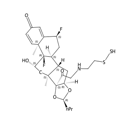 CCC[C@@H]1O[C@@H]2C[C@H]3[C@@H]4C[C@H](F)C5=CC(=O)C=C[C@]5(C)[C@@]4(F)[C@@H](O)C[C@]3(C)[C@]2(C(=O)CNCCSS)O1